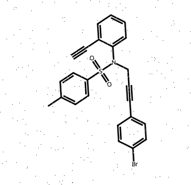 C#Cc1ccccc1N(CC#Cc1ccc(Br)cc1)S(=O)(=O)c1ccc(C)cc1